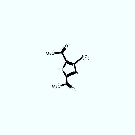 COC(=O)c1cc([N+](=O)[O-])c(C(=O)OC)s1